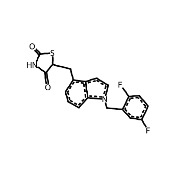 O=C1NC(=O)C(Cc2cccc3c2ccn3Cc2cc(F)ccc2F)S1